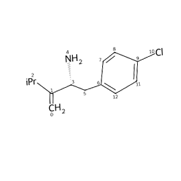 C=C(C(C)C)[C@H](N)Cc1ccc(Cl)cc1